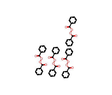 O=C(OOC(=O)c1ccccc1)c1ccccc1.O=C(OOC(=O)c1ccccc1)c1ccccc1.O=C(OOC(=O)c1ccccc1)c1ccccc1.O=C(OOC(=O)c1ccccc1)c1ccccc1